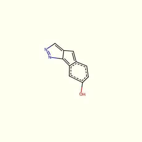 Oc1ccc2c(c1)=C1N=NC=C1C=2